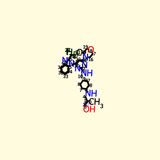 C/C(=C\O)CN[C@H]1CC[C@H](CNc2nc(N3CCOC[C@@H]3C)cc(-n3c(C(F)F)nc4ccccc43)n2)CC1